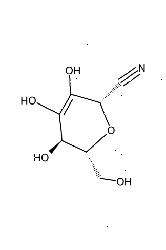 N#C[C@@H]1O[C@H](CO)[C@@H](O)C(O)=C1O